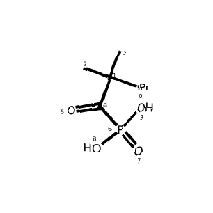 CC(C)C(C)(C)C(=O)P(=O)(O)O